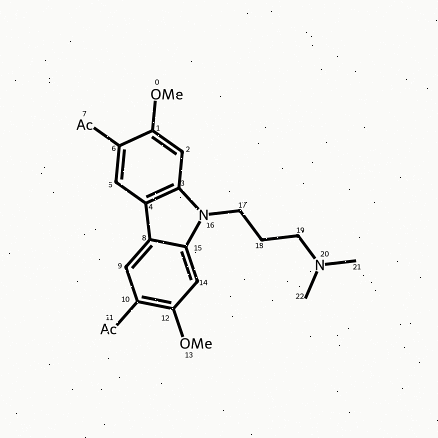 COc1cc2c(cc1C(C)=O)c1cc(C(C)=O)c(OC)cc1n2CCCN(C)C